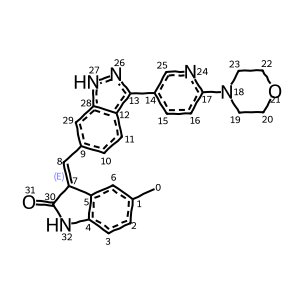 Cc1ccc2c(c1)/C(=C\c1ccc3c(-c4ccc(N5CCOCC5)nc4)n[nH]c3c1)C(=O)N2